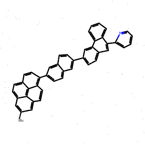 CC(C)(C)c1cc2ccc3ccc(-c4ccc5cc(-c6ccc7cc(-c8ccccn8)c8ccccc8c7c6)ccc5c4)c4ccc(c1)c2c34